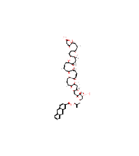 C=C(COC(=O)c1ccc2cc3ccccc3cc2c1)C[C@@H]1C[C@H](O)[C@@H]2O[C@@H]3C[C@]4(C)O[C@@H]5/C=C\C[C@@H]6O[C@H]7C(C/C=C\CC6OC5CCCC4OC3CC2O1)OC1CC2OC3CC(=O)O[C@@]3(O)C[C@@H](C)C[C@@]2(C)O[C@H]1C[C@@H]7C